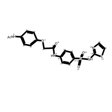 CC(=O)Nc1ccc(OCC(=O)Nc2ccc(S(=O)(=O)Nc3nccs3)cc2)cc1